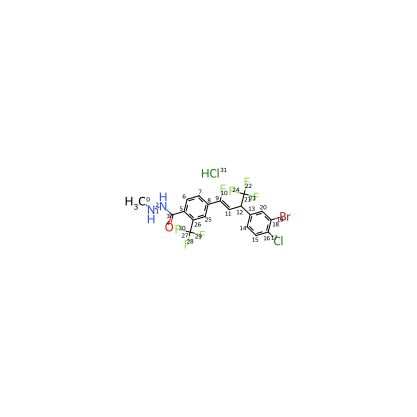 CNNC(=O)c1ccc(C(F)=CC(c2ccc(Cl)c(Br)c2)C(F)(F)F)cc1C(F)(F)F.Cl